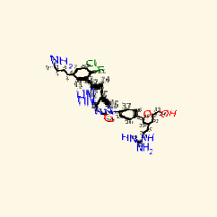 C[C@H](N)CCCC1=CC(Cl)C(F)C(c2cc3cn(-c4ccc([C@@H]5CC(CCNC(=N)N)CC(CO)O5)cc4)c(=O)nc3[nH]2)=C1